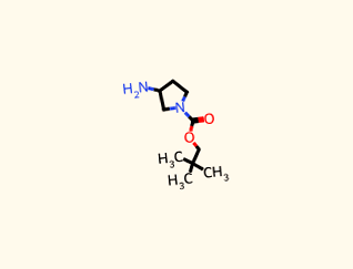 CC(C)(C)COC(=O)N1CCC(N)C1